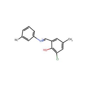 Cc1cc(Cl)c(O)c(/C=N/c2cccc(C#N)c2)c1